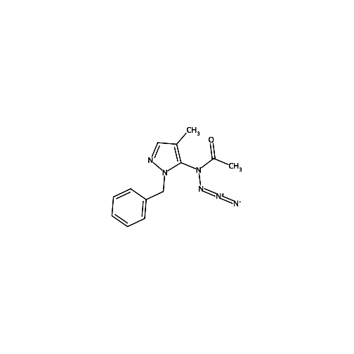 CC(=O)N(N=[N+]=[N-])c1c(C)cnn1Cc1ccccc1